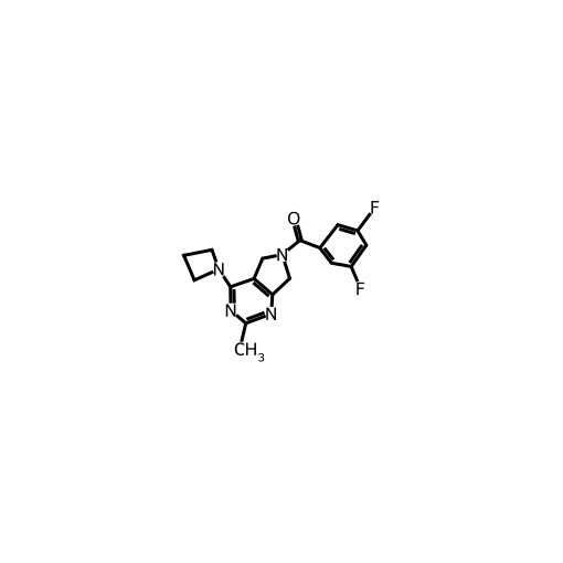 Cc1nc2c(c(N3CCC3)n1)CN(C(=O)c1cc(F)cc(F)c1)C2